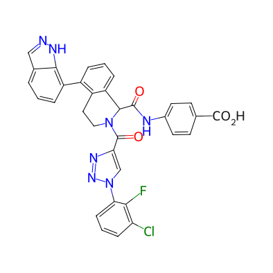 O=C(O)c1ccc(NC(=O)C2c3cccc(-c4cccc5cn[nH]c45)c3CCN2C(=O)c2cn(-c3cccc(Cl)c3F)nn2)cc1